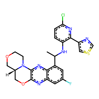 CC(Nc1ccc(Cl)nc1-c1cscn1)c1cc(F)cc2nc3c(nc12)N1CCOC[C@H]1CO3